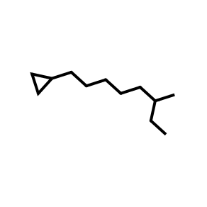 CC[C](C)CCCCCC1CC1